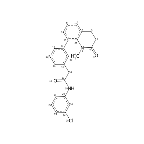 CN1C(=O)CCc2cccc(-c3cncc(CC(=O)Nc4cccc(Cl)c4)c3)c21